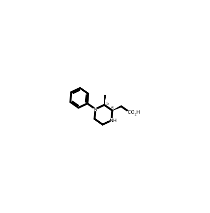 C[C@H]1[C@@H](CC(=O)O)NCCN1c1ccccc1